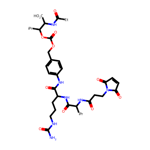 CCC(=O)NC(C(=O)O)C(OC(=O)OCc1ccc(NC(=O)C(CCCNC(N)=O)NC(=O)C(NC(=O)CCN2C(=O)C=CC2=O)C(C)C)cc1)C(C)C